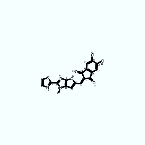 Cn1c(-c2nccs2)nc2oc(C=C3C(=O)c4cc(Cl)c(Cl)cc4C3=O)cc21